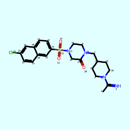 CC(=N)N1CCC(CN2CCN(S(=O)(=O)c3ccc4cc(Cl)ccc4c3)CC2=O)CC1